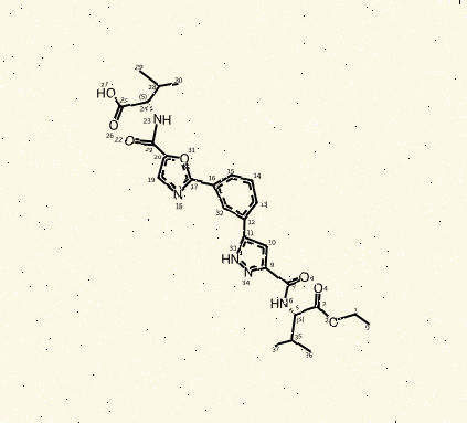 CCOC(=O)[C@@H](NC(=O)c1cc(-c2cccc(-c3ncc(C(=O)N[C@H](C(=O)O)C(C)C)o3)c2)[nH]n1)C(C)C